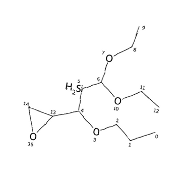 CCCOC([SiH2]C(OCC)OCC)C1CO1